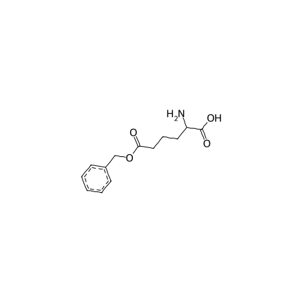 NC(CCCC(=O)OCc1ccccc1)C(=O)O